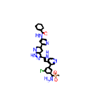 CS(=O)(=O)C(N)c1cc(F)cc(-c2cncc3[nH]c(-c4n[nH]c5ncc(-c6cncc(NC(=O)C7CCCCC7)c6)cc45)cc23)c1